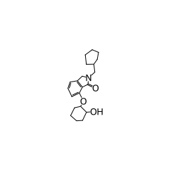 O=C1c2c(cccc2OC2CCCCC2O)CN1CC1CCCCC1